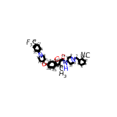 [C-]#[N+]c1ccccc1CN1CCC(NC(=O)c2oc3cc(OC4CCN(c5ccc(C(F)(F)F)cc5)CC4)ccc3c2C)CC1